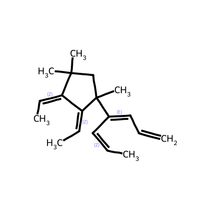 C=C/C=C(\C=C/C)C1(C)CC(C)(C)C(=C/C)/C1=C\C